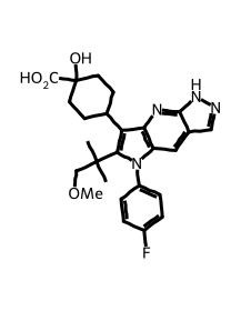 COCC(C)(C)c1c(C2CCC(O)(C(=O)O)CC2)c2nc3[nH]ncc3cc2n1-c1ccc(F)cc1